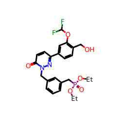 CCOP(=O)(Cc1cccc(Cn2nc(-c3ccc(CO)c(OC(F)F)c3)ccc2=O)c1)OCC